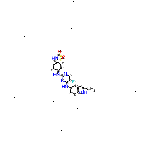 Cc1cc2c(F)c(Nc3ccnc(Nc4ccc(N[SH](=O)=O)cc4)n3)ccc2[nH]1